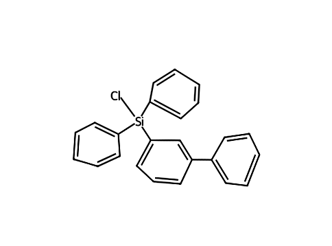 Cl[Si](c1ccccc1)(c1ccccc1)c1cccc(-c2ccccc2)c1